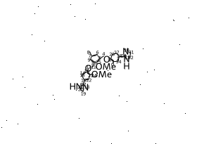 COC1=C(OCc2cc(C)cc(COc3ccc(C4=NCCN4)cc3OC)c2)CCC(C2=NCCN2)=C1